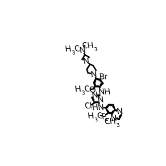 COc1cc(N2CCC(N3CC(N(C)C)C3)CC2)c(Br)cc1Nc1ncc(Cl)c(Nc2ccc3nccnc3c2P(C)C)n1